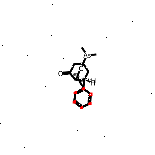 C[As](C)C12CC(=O)C([C@@H](c3ccccc3)C1)[C@H](c1ccccc1)C2